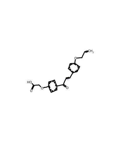 C=CCOc1ccc(/C=C/C(=O)c2ccc(OCC(=O)O)cc2)cc1